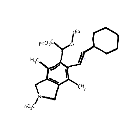 CCOC(=O)C(OC(C)(C)C)c1c(C)c2c(c(C)c1/C=C/C1CCCCC1)CN(C(=O)O)C2